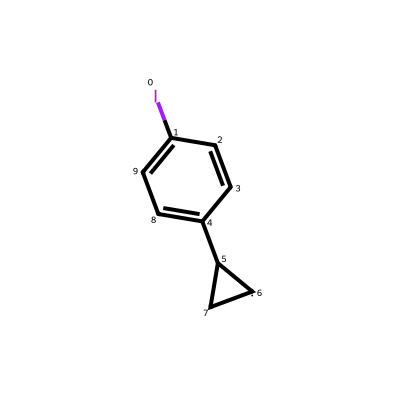 Ic1ccc(C2[CH]C2)cc1